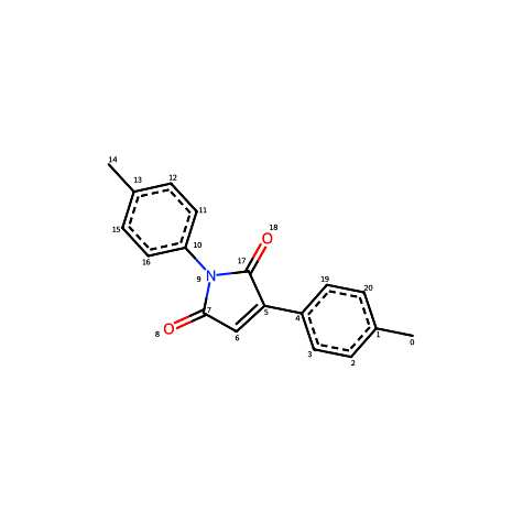 Cc1ccc(C2=CC(=O)N(c3ccc(C)cc3)C2=O)cc1